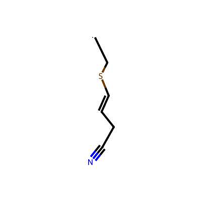 [CH2]CSC=CCC#N